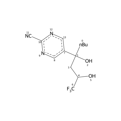 CCCCC(O)(CC(O)C(F)(F)F)c1cnc(C#N)nc1